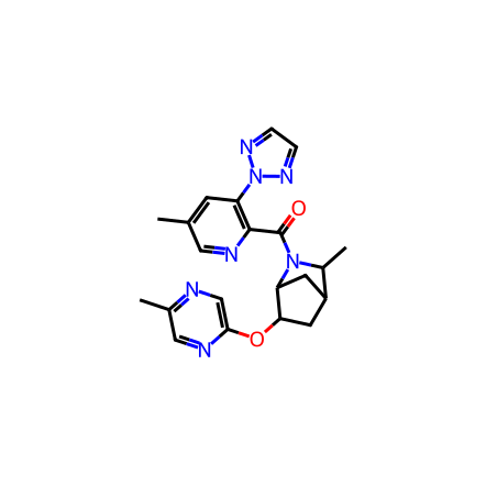 Cc1cnc(C(=O)N2C(C)C3CC(Oc4cnc(C)cn4)C2C3)c(-n2nccn2)c1